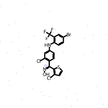 O/N=C(/c1ccc(Nc2ccc(Br)cc2C(F)(F)F)cc1Cl)c1sccc1Cl